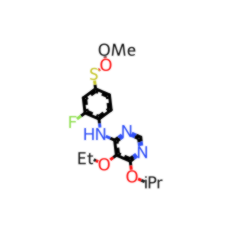 CCOc1c(Nc2ccc(SOOC)cc2F)ncnc1OC(C)C